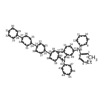 C/C=C(\C=C/CC)N(c1ccccc1)c1ccc2c3cc(-c4ccc(-c5ccc(-c6ccccc6)cc5)cc4)ccc3n(-c3ccccc3)c2c1